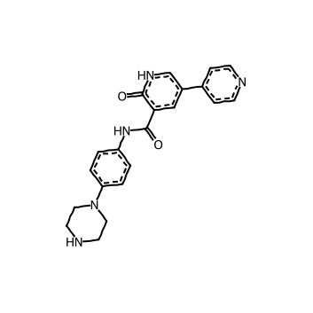 O=C(Nc1ccc(N2CCNCC2)cc1)c1cc(-c2ccncc2)c[nH]c1=O